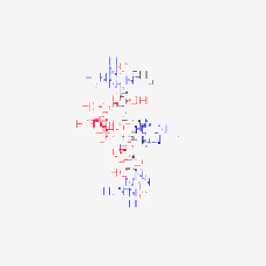 COCC[C@H]1[C@@H](O)[C@H](n2c[n+](C)c3c(=O)[nH]c(N)nc32)O[C@@H]1COP(=O)(O)OP(=O)(O)OP(=O)(O)OCC1O[C@@H](n2cnc3c(N)ncnc32)[C@H](OC)[C@@H]1CP(=O)([O-])OC[C@H]1O[C@@H](n2cnc3c(=O)[nH]c(N)nc32)[C@H](O)[C@@H]1O